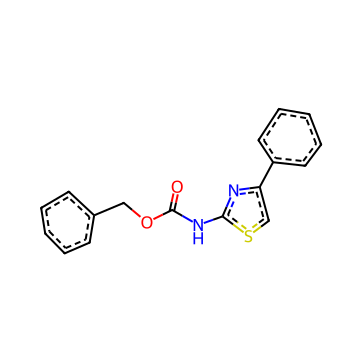 O=C(Nc1nc(-c2ccccc2)cs1)OCc1ccccc1